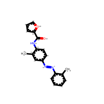 Cc1ccccc1N=Nc1ccc(NC(=O)c2ccco2)c(C)c1